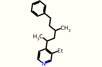 CCc1cnccc1C(C)CC(C)CCc1ccccc1